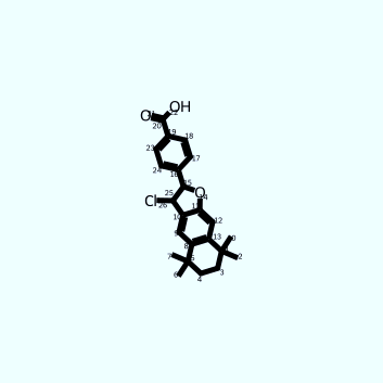 CC1(C)CCC(C)(C)c2cc3c(cc21)OC(c1ccc(C(=O)O)cc1)C3Cl